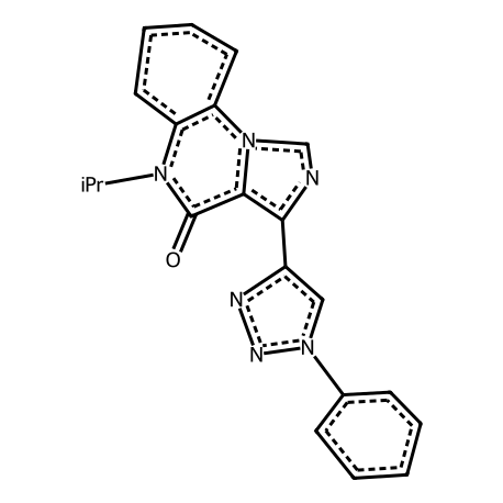 CC(C)n1c(=O)c2c(-c3cn(-c4ccccc4)nn3)ncn2c2ccccc21